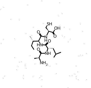 CC[C@H](C)[C@H](NC(=O)[C@H](CC(C)C)NC(=O)[C@H](C)N)C(=O)N[C@@H](CS)C(=O)O